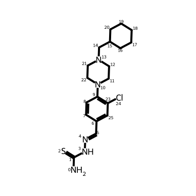 NC(=S)NN=Cc1ccc(N2CCN(CC3CCCCC3)CC2)c(Cl)c1